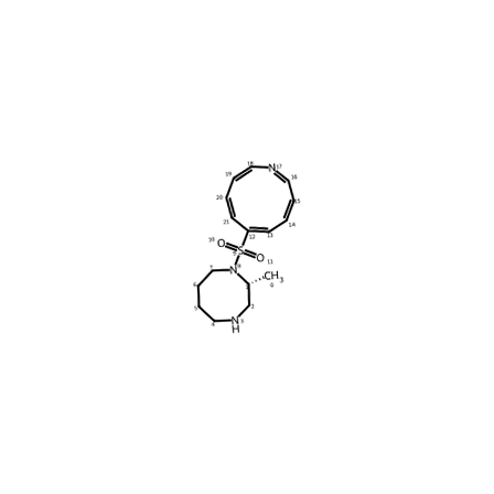 C[C@@H]1CNCCCCN1S(=O)(=O)c1ccccncccc1